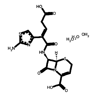 Nc1nc(C(=CCC(=O)O)C(=O)N[C@@H]2C(=O)N3C(C(=O)O)=CCS[C@H]23)cs1.O.O.O